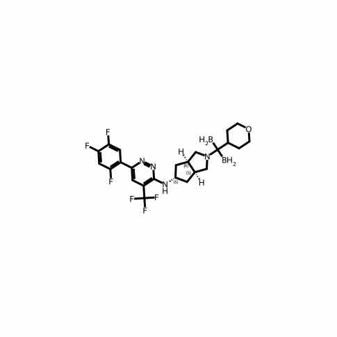 BC(B)(C1CCOCC1)N1C[C@H]2C[C@H](Nc3nnc(-c4cc(F)c(F)cc4F)cc3C(F)(F)F)C[C@H]2C1